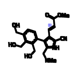 CNCc1[nH]c(C#N)c(/C=C/C(=O)OC)c1-c1ccc(CO)c(CO)c1CO